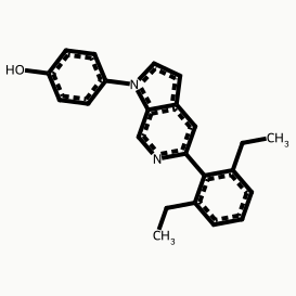 CCc1cccc(CC)c1-c1cc2ccn(-c3ccc(O)cc3)c2cn1